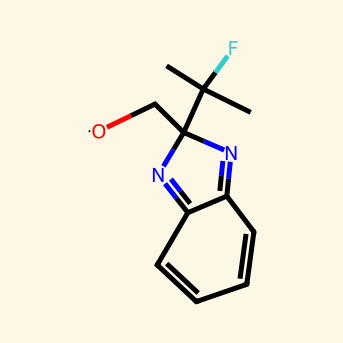 CC(C)(F)C1(C[O])N=c2ccccc2=N1